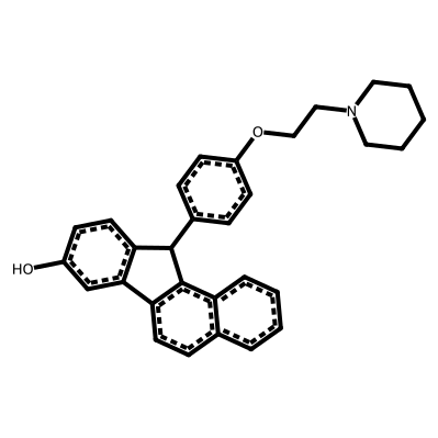 Oc1ccc2c(c1)-c1ccc3ccccc3c1C2c1ccc(OCCN2CCCCC2)cc1